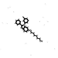 Cc1cccc(-n2c(-c3ccccc3)nc3ccc(OCCCCCCO)cc32)c1